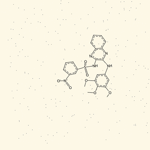 COc1cc(Nc2nc3ccccc3nc2NS(=O)(=O)c2cccc([N+](=O)[O-])c2)cc(OC)c1OC